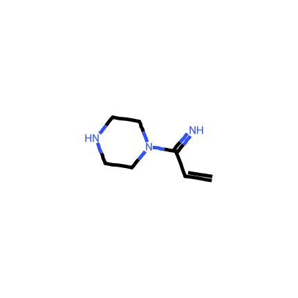 C=CC(=N)N1CCNCC1